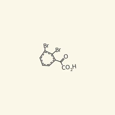 O=C(O)C(=O)c1cccc(Br)c1Br